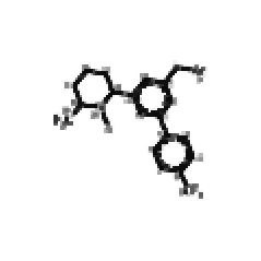 CC(=O)Cc1cc(-c2ccc(C(F)(F)F)cc2)cc(C2CCCC(C(F)(F)F)N2C)c1